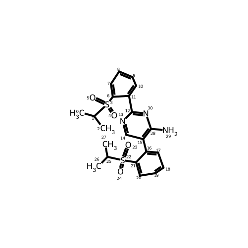 CC(C)S(=O)(=O)c1ccccc1-c1ncc(-c2ccccc2S(=O)(=O)C(C)C)c(N)n1